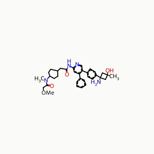 COCC(=O)N(C)C1CCC(CC(=O)Nc2cc(-c3ccccc3)c(-c3ccc([C@]4(N)C[C@](C)(O)C4)cc3)cn2)CC1